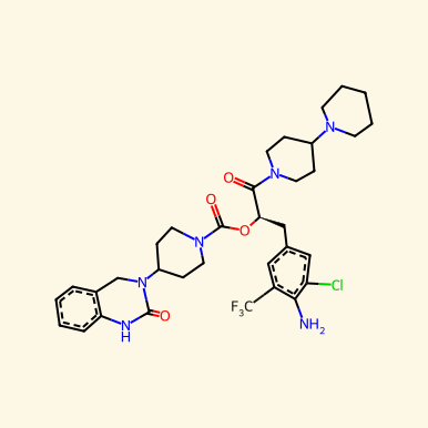 Nc1c(Cl)cc(C[C@@H](OC(=O)N2CCC(N3Cc4ccccc4NC3=O)CC2)C(=O)N2CCC(N3CCCCC3)CC2)cc1C(F)(F)F